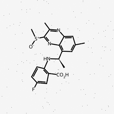 Cc1cc([C@@H](C)Nc2ccc(F)cc2C(=O)O)c2nc([S+](C)[O-])c(C)nc2c1